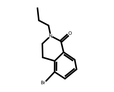 CCCN1CCc2c(Br)cccc2C1=O